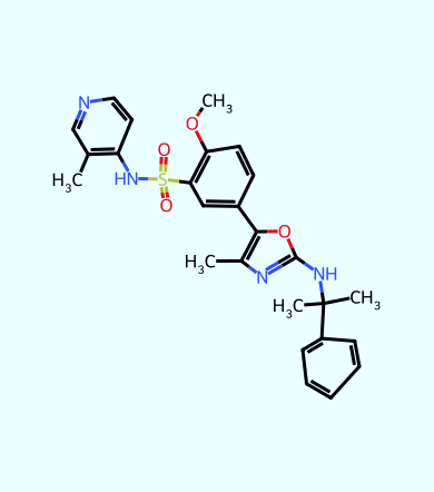 COc1ccc(-c2oc(NC(C)(C)c3ccccc3)nc2C)cc1S(=O)(=O)Nc1ccncc1C